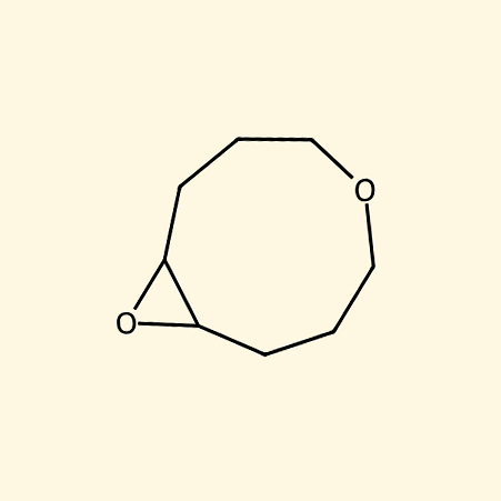 C1COCCCC2OC2C1